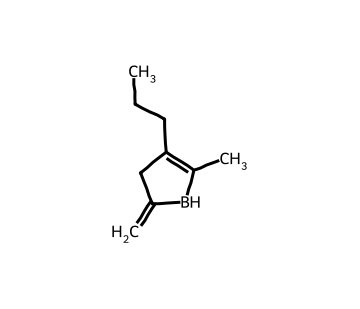 C=C1BC(C)=C(CCC)C1